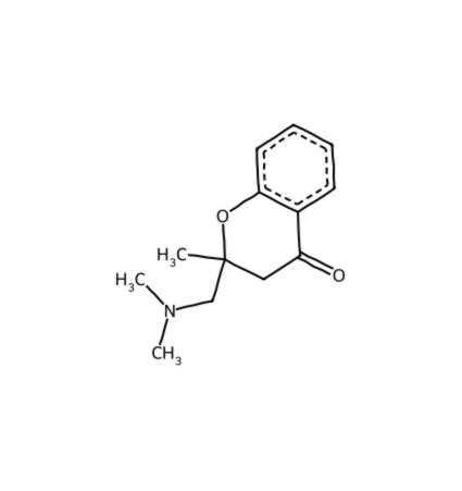 CN(C)CC1(C)CC(=O)c2ccccc2O1